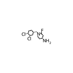 Nc1cc[n+](Cc2ccc(Cl)c(Cl)c2)c(F)c1